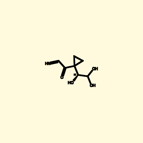 N=CC(=O)C1([C@H](O)C(O)O)CC1